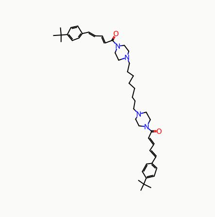 CC(C)(C)c1ccc(C=CC=CC(=O)N2CCN(CCCCCCCCN3CCN(C(=O)C=CC=Cc4ccc(C(C)(C)C)cc4)CC3)CC2)cc1